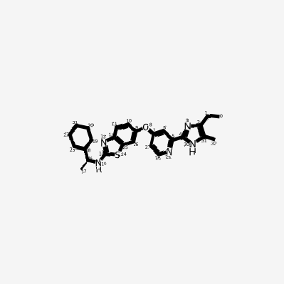 CCc1nc(-c2cc(Oc3ccc4nc(N[C@@H](C)C5CCCCC5)sc4c3)ccn2)[nH]c1C